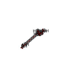 C=C(C)CO[C@H](C[C@H](C(C)C)N(C)C(=O)[C@@H](NC(=O)[C@H]1CCCC[N+]1(C)Cc1ccc(O[C@@H]2O[C@H](C(=O)O)[C@@H](O)[C@H](O)[C@H]2O)c(NC(=O)OCCOCCOCCOCCOCCOCCOCCOCCOCCOCCOCCOCCC(=O)NCCCC[C@H](NC(=O)OCC2c3ccccc3-c3ccccc32)C(=O)NCCC)c1)[C@@H](C)CC)c1nc(C(=O)N[C@@H](Cc2ccccc2)C[C@H](C)C(=O)O)cs1